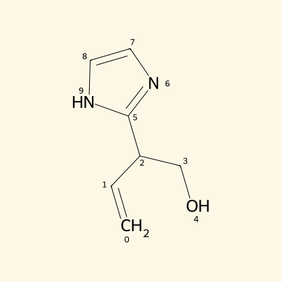 C=CC(CO)c1ncc[nH]1